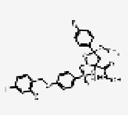 COC1(c2ccc(F)cc2)CC(NS(=O)(=O)c2ccc(OCc3ccc(F)cc3Cl)cc2)(C(=O)NO)CO1